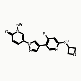 CCCn1cc(-n2cc(-c3cnc(NC4COC4)cc3F)cn2)ccc1=O